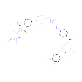 CC1(C)CN(C(=O)c2ccc(N3CCN(CC4CCN(c5ccc6c(c5)C(=O)N(C5CCC(=O)NC5=O)C6=O)CC4)CC3)cc2)CC(C)(C)C1Oc1ccc(C#N)c(Cl)c1